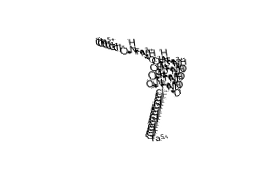 O=C[NH][Ta+3][NH]C=O.O=C[NH][Ta+3][NH]C=O.O=C[NH][Ta+3][NH]C=O.O=C[NH][Ta+3][NH]C=O.O=C[NH][Ta+3][NH]C=O.[Cl-].[Cl-].[Cl-].[Cl-].[Cl-].[Cl-].[Cl-].[Cl-].[Cl-].[Cl-].[Cl-].[Cl-].[Cl-].[Cl-].[Cl-].[Cl-].[Cl-].[Cl-].[Cl-].[Cl-].[Ta+5].[Ta+5]